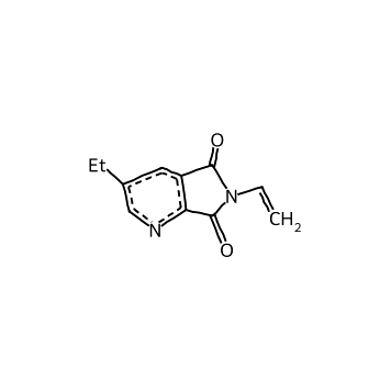 C=CN1C(=O)c2cc(CC)cnc2C1=O